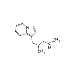 CNCC(C)Cc1ccn2ccccc12